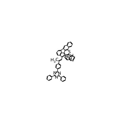 C/C(=C\C1=C(C(C)C)C23c4ccc5ccccc5c4Sc4c2c(cc2ccccc42)-c2cccc1c23)c1ccc(-c2nc(-c3ccccc3)nc(-c3ccccc3)n2)cc1